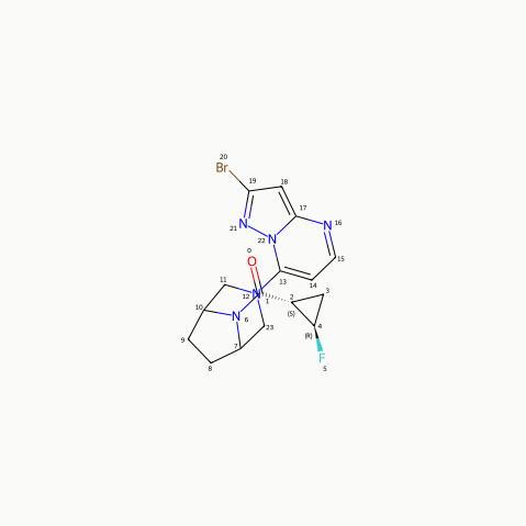 O=C([C@@H]1C[C@H]1F)N1C2CCC1CN(c1ccnc3cc(Br)nn13)C2